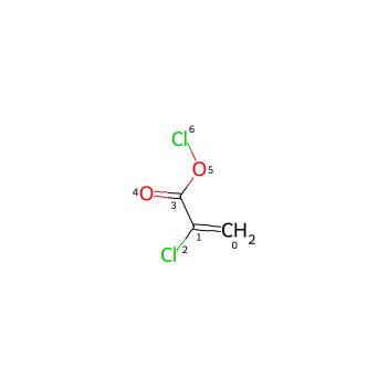 C=C(Cl)C(=O)OCl